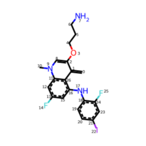 C=C1C(OCCCN)=CN(C)c2cc(F)cc(Nc3ccc(I)cc3F)c21